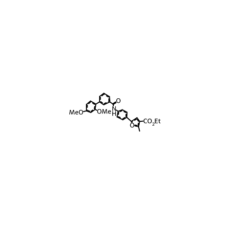 CCOC(=O)c1cc(-c2ccc(NC(=O)c3cccc(-c4ccc(OC)cc4OC)c3)cc2)oc1C